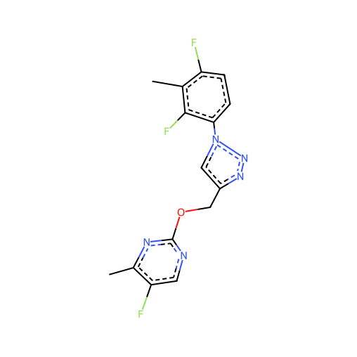 Cc1nc(OCc2cn(-c3ccc(F)c(C)c3F)nn2)ncc1F